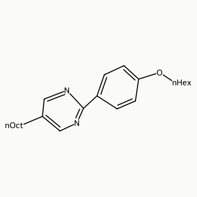 CCCCCCCCc1cnc(-c2ccc(OCCCCCC)cc2)nc1